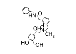 C[C@H](Cc1cccc(CC(=O)NCc2ccccc2)c1)NC[C@H](O)c1ccc(O)c(CO)c1